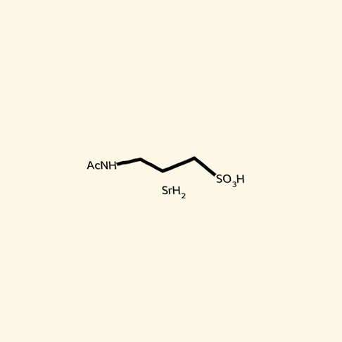 CC(=O)NCCCS(=O)(=O)O.[SrH2]